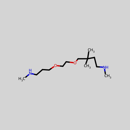 CNCCCOCCOCC(C)(C)CCNC